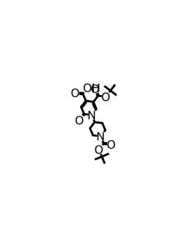 CC(C)(C)OC(=O)c1cn(C2CCN(C(=O)OC(C)(C)C)CC2)c(=O)cc1C(=O)O